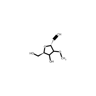 C#C[C@H]1O[C@H](CO)C(O)C1OC